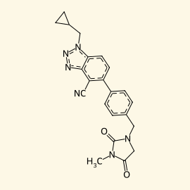 CN1C(=O)CN(Cc2ccc(-c3ccc4c(nnn4CC4CC4)c3C#N)cc2)C1=O